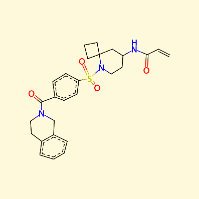 C=CC(=O)NC1CCN(S(=O)(=O)c2ccc(C(=O)N3CCc4ccccc4C3)cc2)C2(CCC2)C1